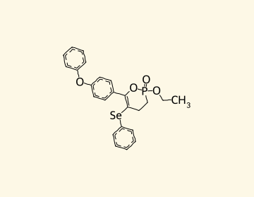 CCOP1(=O)CCC([Se]c2ccccc2)=C(c2ccc(Oc3ccccc3)cc2)O1